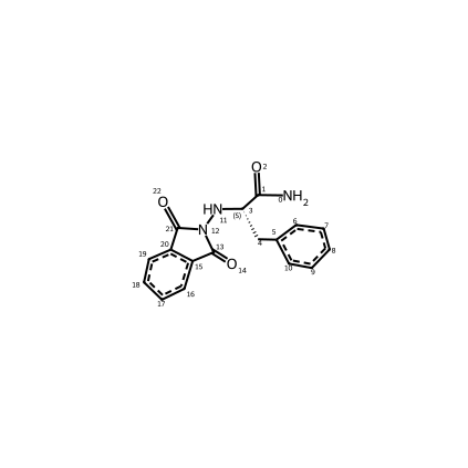 NC(=O)[C@H](Cc1ccccc1)NN1C(=O)c2ccccc2C1=O